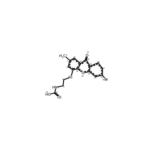 Cc1cc(OCCNC(=O)O)c2oc3cc(Br)ccc3c(=O)c2c1